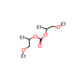 CCOCC(CC)OC(=O)OC(CC)COCC